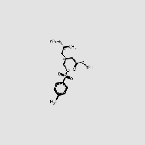 CCCCC[C@H](C)C[C@H](COS(=O)(=O)c1ccc(C)cc1)CC(=O)OC(C)(C)C